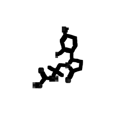 CC(C)(CN1C(=O)CCC1c1ccc(Br)cc1F)NC(=O)O